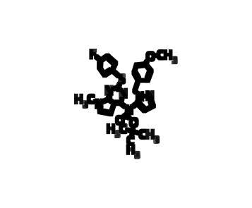 COc1ccc(Cn2nccc2N(C(=O)OC(C)(C)C)c2nc(Sc3ccc(F)cc3)nc3c2ccn3C)cc1